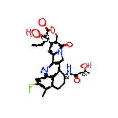 CC[Si@@]1(O)C(=O)OCc2c1cc1n(c2=O)Cc2c-1nc1cc(F)c(C)c3c1c2[C@@H](NC(=O)[C@H](C)O)CC3